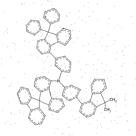 CC1(C)c2ccccc2-c2c(-c3ccc(N(c4cccc(-c5cccc6c5-c5ccccc5C6(c5ccccc5)c5ccccc5)c4)c4cccc5c4-c4ccccc4C54c5ccccc5-c5ccccc54)cc3)cccc21